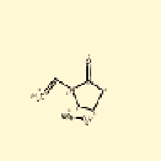 C=CN1CCCC1=O.CCCCO